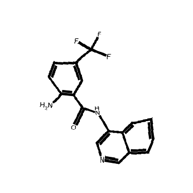 Nc1ccc(C(F)(F)F)cc1C(=O)Nc1cncc2ccccc12